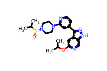 CC(C)Oc1cc2c(-c3ccnc(N4CCN([S+]([O-])C(C)C)CC4)c3)n[nH]c2cn1